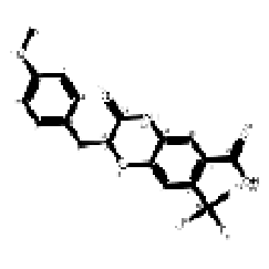 COc1ccc(C[C@@H]2Oc3cc(C(F)(F)F)c(C(=O)O)cc3NC2=O)cc1